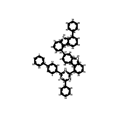 c1ccc(-c2ccc(-c3nc(-c4ccccc4)nc(-c4cccc5oc6cc(-c7cccc8sc9c(-c%10ccccc%10)cccc9c78)ccc6c45)n3)cc2)cc1